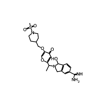 CC(c1cc(=O)c(OCC2CCN(S(C)(=O)=O)CC2)co1)N1Cc2cc(C(=N)N)ccc2C1O